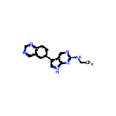 CCNc1ncc2c(-c3ccc4ncncc4c3)c[nH]c2n1